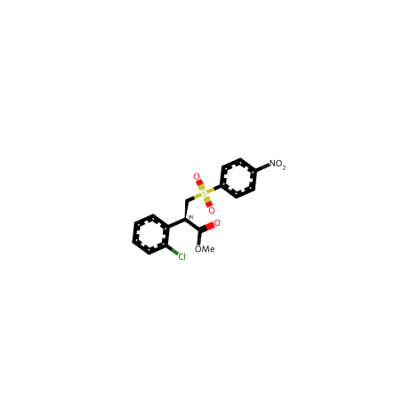 COC(=O)[C@H](CS(=O)(=O)c1ccc([N+](=O)[O-])cc1)c1ccccc1Cl